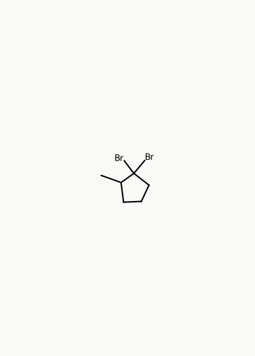 CC1CCCC1(Br)Br